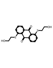 O=C1c2cccc(SCCO)c2C(=O)c2cccc(SCCO)c21